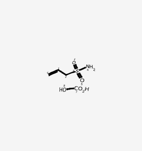 C=CCS(N)(=O)=O.O=C(O)O